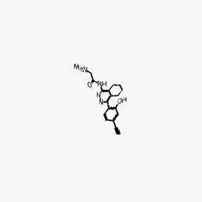 C#Cc1ccc(-c2nnc(NC(=O)CNC)c3c2CCCC3)c(O)c1